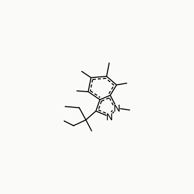 CCC(C)(CC)c1nn(C)c2c(C)c(C)c(C)c(C)c12